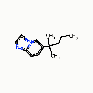 CCCC(C)(C)c1ccc2nccn2c1